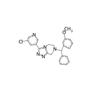 COc1cccc(C(c2ccccc2)N2CCn3c(nnc3-c3cncc(Cl)c3)C2)c1